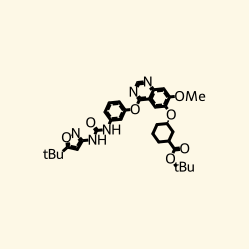 COc1cc2ncnc(Oc3cccc(NC(=O)Nc4cc(C(C)(C)C)on4)c3)c2cc1O[C@H]1CCCC(C(=O)OC(C)(C)C)C1